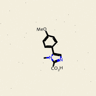 COc1ccc(-c2cnc(C(=O)O)n2C)cc1